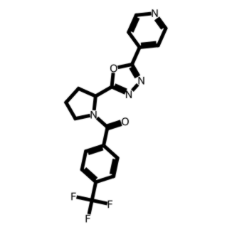 O=C(c1ccc(C(F)(F)F)cc1)N1CCCC1c1nnc(-c2ccncc2)o1